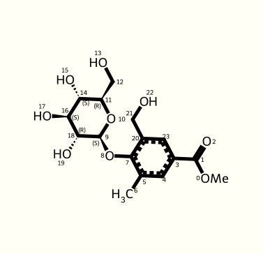 COC(=O)c1cc(C)c(O[C@@H]2O[C@H](CO)[C@@H](O)[C@H](O)[C@H]2O)c(CO)c1